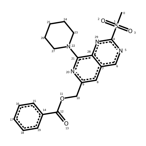 CS(=O)(=O)c1ncc2cc(COC(=O)c3ccccc3)nc(N3CCCCC3)c2n1